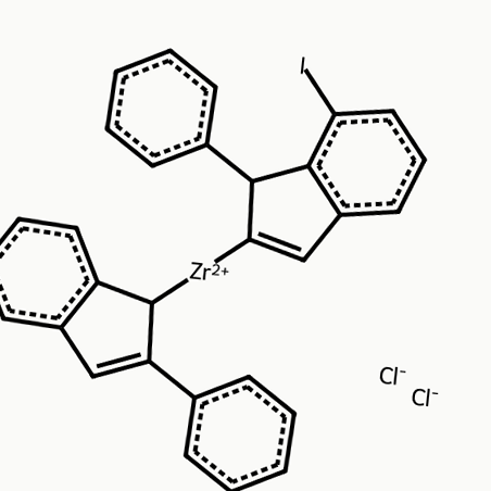 Ic1cccc2c1C(c1ccccc1)[C]([Zr+2][CH]1C(c3ccccc3)=Cc3ccccc31)=C2.[Cl-].[Cl-]